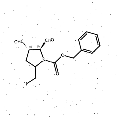 O=C[C@@H]1[C@@H](C=O)CC(CI)N1C(=O)OCc1ccccc1